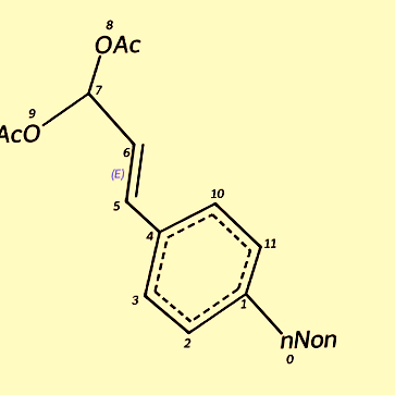 CCCCCCCCCc1ccc(/C=C/C(OC(C)=O)OC(C)=O)cc1